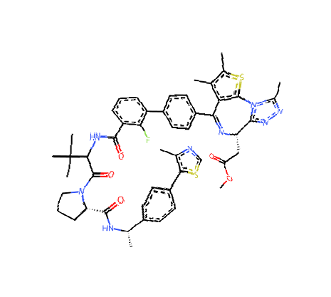 COC(=O)C[C@@H]1N=C(c2ccc(-c3cccc(C(=O)NC(C(=O)N4CCC[C@H]4C(=O)N[C@@H](C)c4ccc(-c5scnc5C)cc4)C(C)(C)C)c3F)cc2)c2c(sc(C)c2C)-n2c(C)nnc21